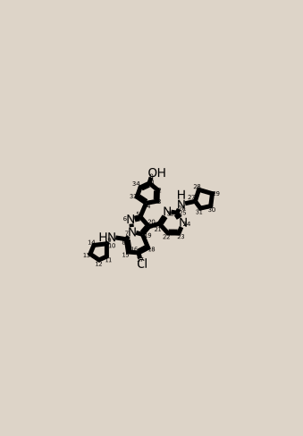 Oc1ccc(-c2nn3c(NC4CCCC4)cc(Cl)cc3c2-c2ccnc(NC3CCCC3)n2)cc1